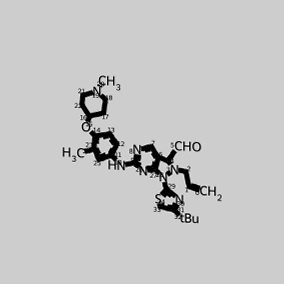 C=CCN1C(C=O)c2cnc(Nc3ccc(OC4CCN(C)CC4)c(C)c3)nc2N1c1nc(C(C)(C)C)cs1